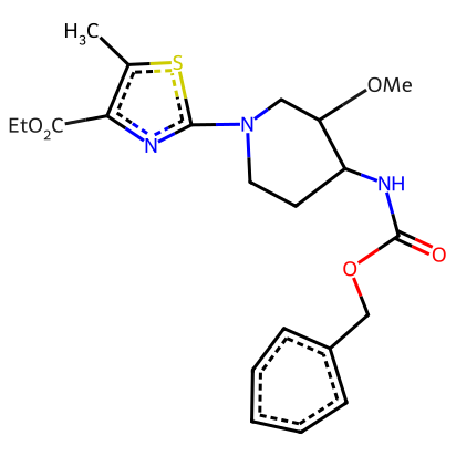 CCOC(=O)c1nc(N2CCC(NC(=O)OCc3ccccc3)C(OC)C2)sc1C